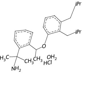 CC(C)Cc1cccc(OC(C)c2ccccc2C(C)(C)N)c1CC(C)C.Cl.O